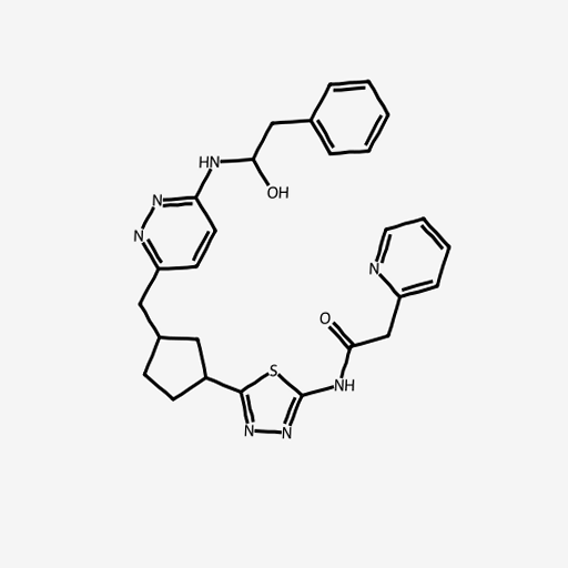 O=C(Cc1ccccn1)Nc1nnc(C2CCC(Cc3ccc(NC(O)Cc4ccccc4)nn3)C2)s1